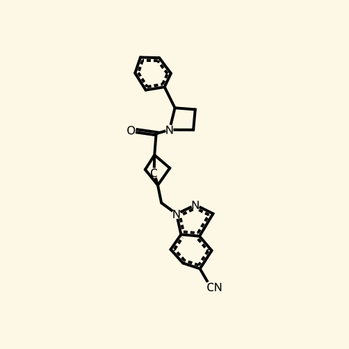 N#Cc1ccc2c(cnn2CC23CC(C(=O)N4CCC4c4ccccc4)(C2)C3)c1